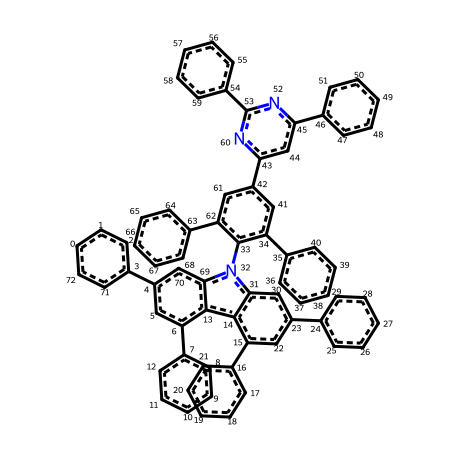 c1ccc(-c2cc(-c3ccccc3)c3c4c(-c5ccccc5)cc(-c5ccccc5)cc4n(-c4c(-c5ccccc5)cc(-c5cc(-c6ccccc6)nc(-c6ccccc6)n5)cc4-c4ccccc4)c3c2)cc1